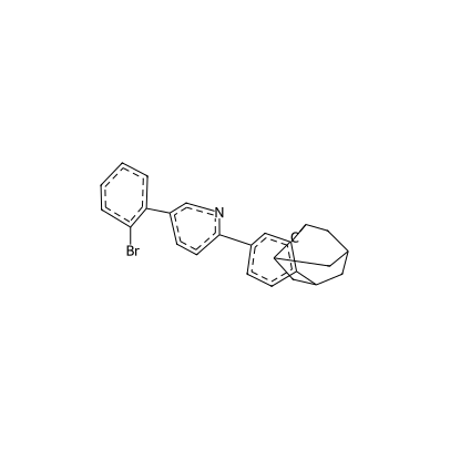 Brc1ccccc1-c1ccc(-c2ccc3c(c2)C2CC4CC(CC3C4)C2)nc1